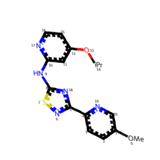 COc1ccc(-c2nsc(Nc3cc(OC(C)C)ccn3)n2)nc1